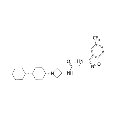 O=C(CNc1noc2ccc(C(F)(F)F)cc12)NC1CN([C@H]2CC[C@@H](C3CCCCC3)CC2)C1